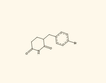 O=C1CCC(Cc2ccc(Br)cc2)C(=O)N1